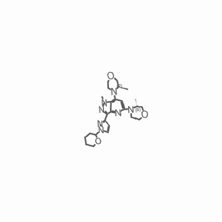 C[C@@H]1COCCN1c1cc(N2CCOC[C@H]2C)c2c(n1)c(-c1ccn(C3CCCCO3)n1)nn2C